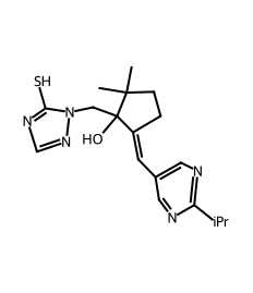 CC(C)c1ncc(/C=C2\CCC(C)(C)C2(O)Cn2ncnc2S)cn1